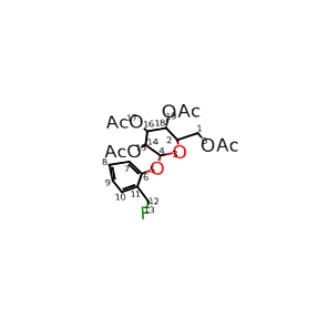 CC(=O)OCC1O[C@@H](Oc2ccccc2CF)C(OC(C)=O)[C@@H](OC(C)=O)[C@H]1OC(C)=O